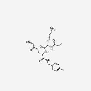 CCC(=O)N[C@@H](CCCCN)C(=O)N[C@@H](CCC(=O)C=N)C(=O)NCc1ccc(F)cc1